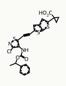 CC(OC(=O)Nc1c(Cl)nsc1C#Cc1cc2cc(C3(C(=O)O)CC3)sc2s1)c1ccccc1